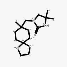 CC1(CN2CC(C)(C)NC2=O)CCC2(CC1)OCCO2